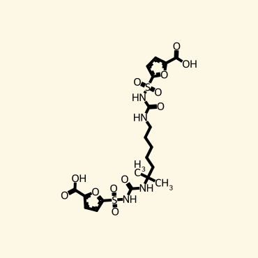 CC(C)(CCCCCNC(=O)NS(=O)(=O)c1ccc(C(=O)O)o1)NC(=O)NS(=O)(=O)c1ccc(C(=O)O)o1